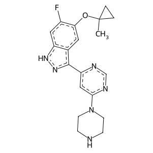 CC1(Oc2cc3c(-c4cc(N5CCNCC5)ncn4)n[nH]c3cc2F)CC1